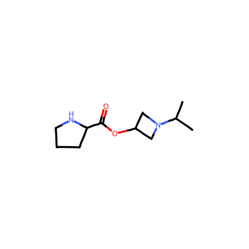 CC(C)N1CC(OC(=O)C2CCCN2)C1